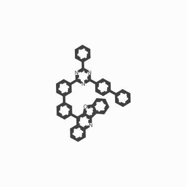 c1ccc(-c2ccc(-c3nc(-c4ccccc4)nc(-c4cccc(-c5cccc(-c6c7ccccc7nc7c6oc6ccccc67)c5)c4)n3)cc2)cc1